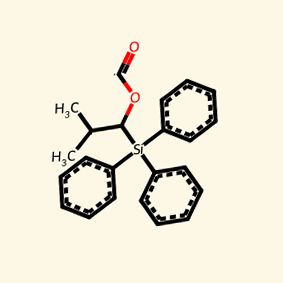 C[C](C)C(O[C]=O)[Si](c1ccccc1)(c1ccccc1)c1ccccc1